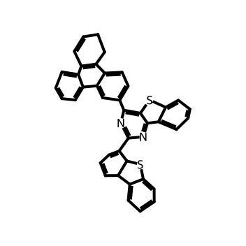 C1=CC2c3ccccc3SC2C(c2nc(-c3ccc4c5c(c6ccccc6c4c3)C=CCC5)c3sc4ccccc4c3n2)=C1